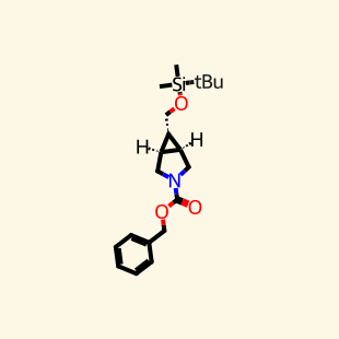 CC(C)(C)[Si](C)(C)OC[C@@H]1[C@H]2CN(C(=O)OCc3ccccc3)C[C@@H]12